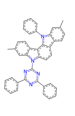 Cc1ccc2c3c(ccc4c5ccc(C)cc5n(-c5ccccc5)c43)n(-c3nc(-c4ccccc4)nc(-c4ccccc4)n3)c2c1